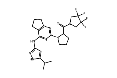 CC(C)c1cc(Nc2nc(N3CCCC3C(=O)N3CC(F)(F)C(F)(F)C3)nc3c2CCC3)n[nH]1